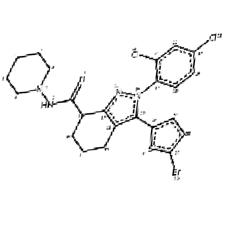 O=C(NN1CCCCC1)C1CCCc2c1nn(-c1ccc(Cl)cc1Cl)c2-c1ccc(Br)s1